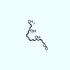 CC/C=C\C[C@@H](O)/C=C/C=C\C/C=C\C=C\[C@H](O)C/C=C\CCOC=O